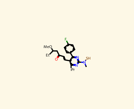 CCC(CC(=O)/C=C/c1c(-c2ccc(F)cc2)nc(N(C)S)nc1C(C)C)OC